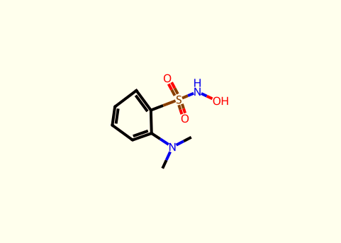 CN(C)c1ccccc1S(=O)(=O)NO